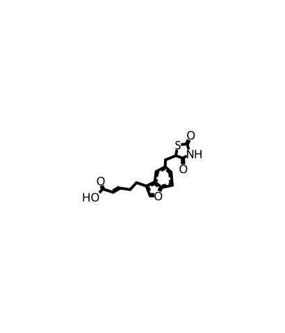 O=C(O)C=CCCc1coc2ccc(CC3SC(=O)NC3=O)cc12